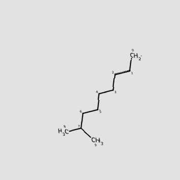 [CH2]CCCC[CH]CC(C)C